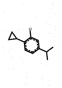 C[C](C)c1ccc(C2CC2)c(Cl)c1